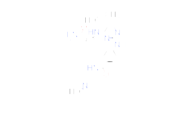 CC(C)c1cnc(Nc2ccc(C(=O)NC3CCN(C)CC3)cc2)nc1N[C@@H]1CCC[C@@H]1C(N)=O